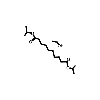 CC(C)OC(=O)CCCCCCCCC(=O)OC(C)C.CCO